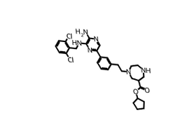 Nc1ncc(-c2cccc(CCN3CCNCC(C(=O)OC4CCCC4)C3)c2)nc1NCc1c(Cl)cccc1Cl